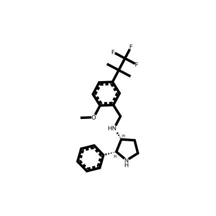 COc1ccc(C(C)(C)C(F)(F)F)cc1CN[C@@H]1CCN[C@@H]1c1ccccc1